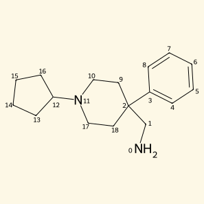 NCC1(c2ccccc2)CCN(C2CCCC2)CC1